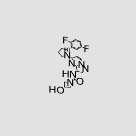 O=C(NC1C=NN2C=CC(N3CCC[C@@H]3c3cc(F)ccc3F)=NC12)N1CC(O)C1